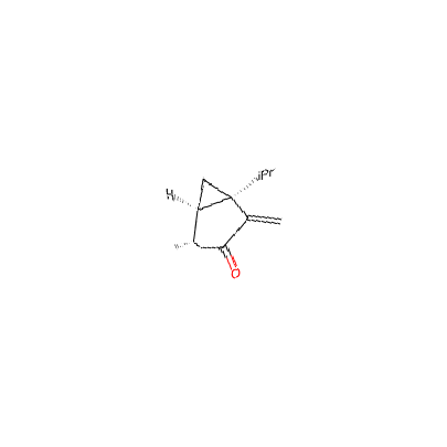 C=C1C(=O)[C@H](C)[C@H]2C[C@@]12C(C)C